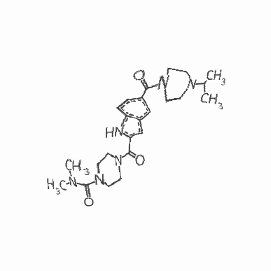 CC(C)N1CCN(C(=O)c2ccc3[nH]c(C(=O)N4CCN(C(=O)N(C)C)CC4)cc3c2)CC1